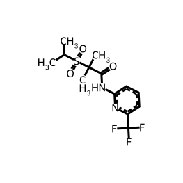 CC(C)S(=O)(=O)C(C)(C)C(=O)Nc1cccc(C(F)(F)F)n1